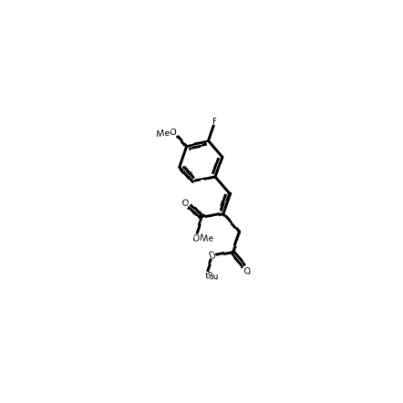 COC(=O)C(=Cc1ccc(OC)c(F)c1)CC(=O)OC(C)(C)C